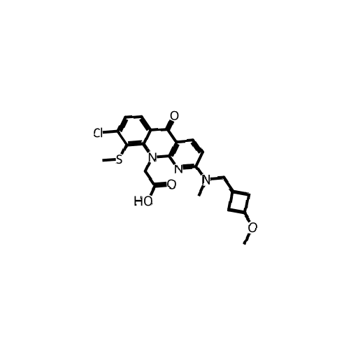 COC1CC(CN(C)c2ccc3c(=O)c4ccc(Cl)c(SC)c4n(CC(=O)O)c3n2)C1